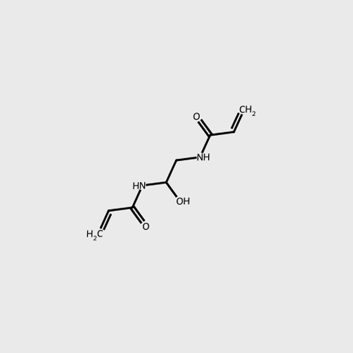 C=CC(=O)NCC(O)NC(=O)C=C